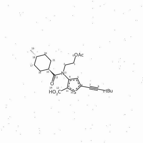 CC(=O)OCCN(c1cc(C#CC(C)(C)C)sc1C(=O)O)C(=O)[C@H]1CC[C@H](C)CC1